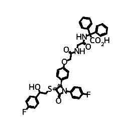 O=C(COc1ccc([C@@H]2[C@@H](SCC(O)c3ccc(F)cc3)C(=O)N2c2ccc(F)cc2)cc1)NCC(=O)NC(C(=O)O)(c1ccccc1)c1ccccc1